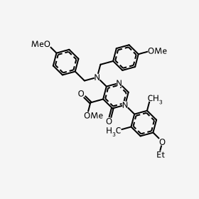 CCOc1cc(C)c(-n2cnc(N(Cc3ccc(OC)cc3)Cc3ccc(OC)cc3)c(C(=O)OC)c2=O)c(C)c1